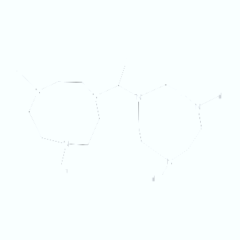 CC(C)N1CCN(C(C)C)CCN(C(C)N2CCN(C(C)C)CCN(C(C)C)CC2)CC1